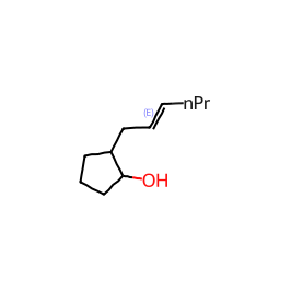 CCC/C=C/CC1CCCC1O